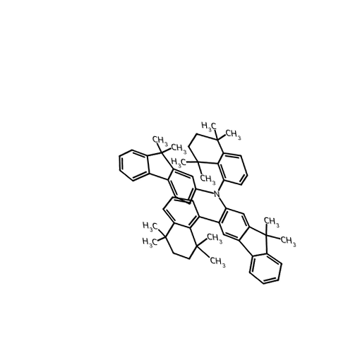 CC1(C)CCC(C)(C)c2c(-c3cc4c(cc3N(c3ccc5c(c3)C(C)(C)c3ccccc3-5)c3cccc5c3C(C)(C)CCC5(C)C)C(C)(C)c3ccccc3-4)cccc21